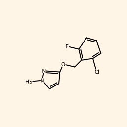 Fc1cccc(Cl)c1COc1ccn(S)n1